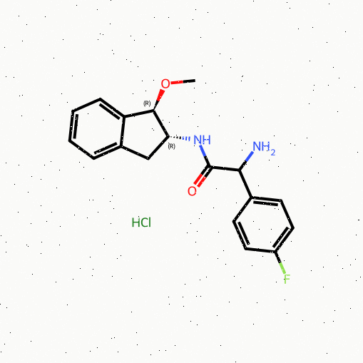 CO[C@@H]1c2ccccc2C[C@H]1NC(=O)C(N)c1ccc(F)cc1.Cl